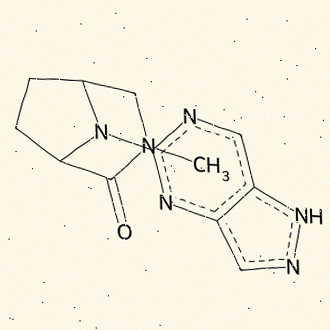 CN1CC2CCC(C1=O)N2c1ncc2[nH]ncc2n1